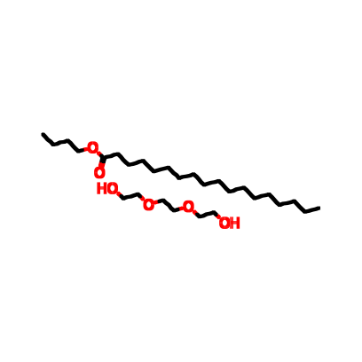 CCCCCCCCCCCCCCCCCC(=O)OCCCC.OCCOCCOCCO